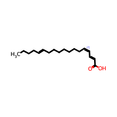 CCCCC=CCCCCCCC/C=C\C=CC(=O)O